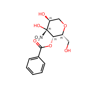 O=C(O[C@H]1[C@@H](CO)OC[C@H](O)[C@]1(O)[N+](=O)[O-])c1ccccc1